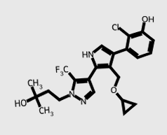 CC(C)(O)CCn1ncc(-c2[nH]cc(-c3cccc(O)c3Cl)c2COC2CC2)c1C(F)(F)F